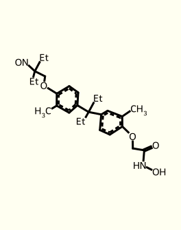 CCC(CC)(COc1ccc(C(CC)(CC)c2ccc(OCC(=O)NO)c(C)c2)cc1C)N=O